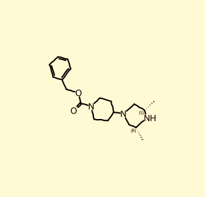 C[C@@H]1CN(C2CCN(C(=O)OCc3ccccc3)CC2)C[C@H](C)N1